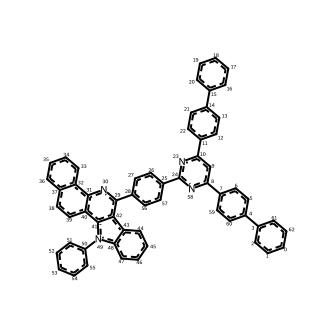 c1ccc(-c2ccc(-c3cc(-c4ccc(-c5ccccc5)cc4)nc(-c4ccc(-c5nc6c7ccccc7ccc6c6c5c5ccccc5n6-c5ccccc5)cc4)n3)cc2)cc1